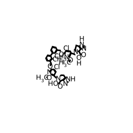 COc1nc(OCc2cccc(-c3cccc(COc4nc(OC)c(CN5CCc6[nH]cnc6C5C(=O)O)cc4Cl)c3C)c2C)c(Cl)cc1CN1CCc2[nH]cnc2C1C(=O)O